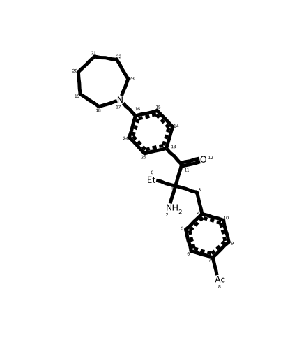 CCC(N)(Cc1ccc(C(C)=O)cc1)C(=O)c1ccc(N2CCCCCC2)cc1